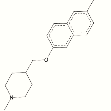 Cc1ccc2cc(OCC3CCN(C)CC3)ccc2c1